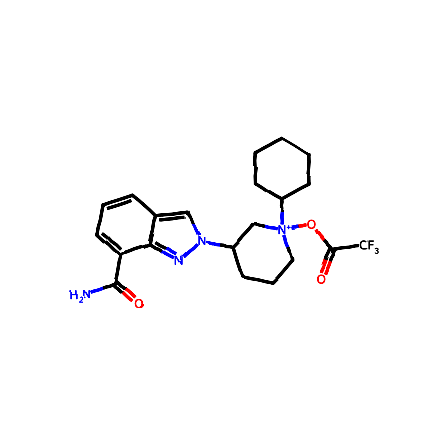 NC(=O)c1cccc2cn(C3CCC[N+](OC(=O)C(F)(F)F)(C4CCCCC4)C3)nc12